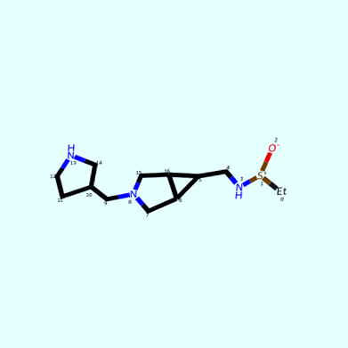 CC[S+]([O-])NCC1C2CN(CC3CCNC3)CC12